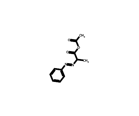 CC(=O)OC(=O)C(C)N=Nc1ccccc1